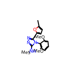 COc1cccc(OC)c1-n1c(NSC)nnc1-c1ccc(C)o1